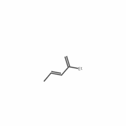 [CH]=C(C=CC)CC